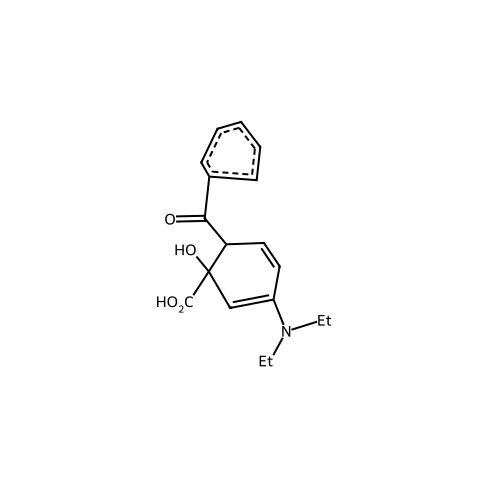 CCN(CC)C1=CC(O)(C(=O)O)C(C(=O)c2ccccc2)C=C1